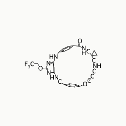 O=C1NCC2(CC2)CNCCCOc2ccc(cc2)CNc2cc(nc(OCC(F)(F)F)n2)Nc2ccc1cc2